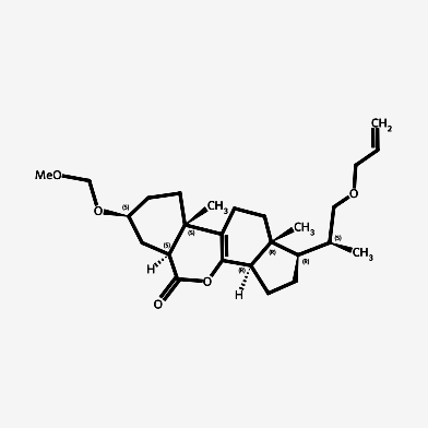 C=CCOC[C@@H](C)[C@H]1CC[C@H]2C3=C(CC[C@]12C)[C@@]1(C)CC[C@H](OCOC)C[C@@H]1C(=O)O3